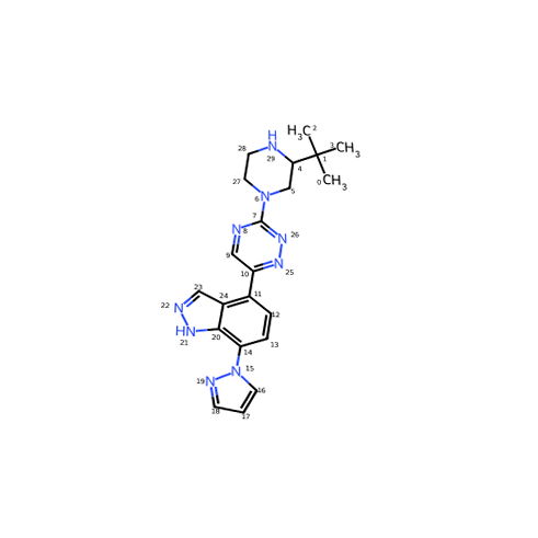 CC(C)(C)C1CN(c2ncc(-c3ccc(-n4cccn4)c4[nH]ncc34)nn2)CCN1